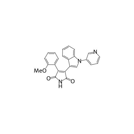 COc1ccccc1C1=C(c2cn(-c3cccnc3)c3ccccc23)C(=O)NC1=O